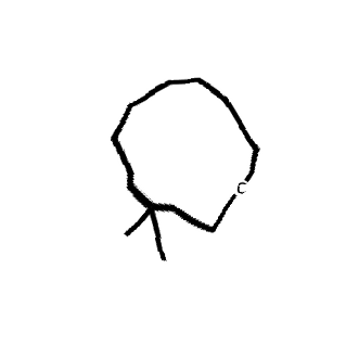 CC1(C)CCCCCCCCC1